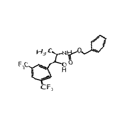 C[C@@H](NC(=O)OCc1ccccc1)C(O)c1cc(C(F)(F)F)cc(C(F)(F)F)c1